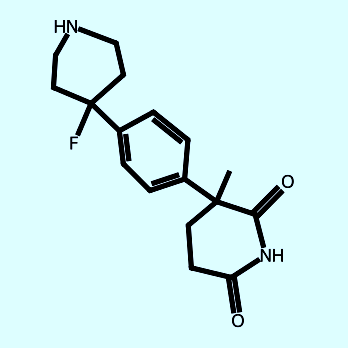 CC1(c2ccc(C3(F)CCNCC3)cc2)CCC(=O)NC1=O